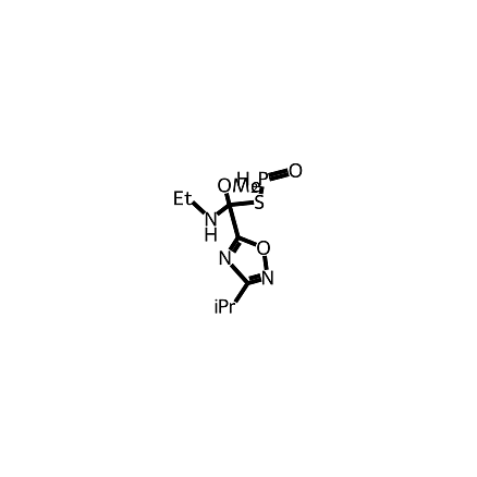 CCNC(OC)(S[PH2]=O)c1nc(C(C)C)no1